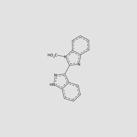 O=C(O)n1c(-c2n[nH]c3ccccc23)nc2ccccc21